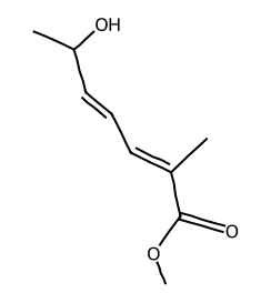 COC(=O)C(C)=CC=CC(C)O